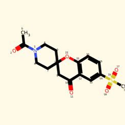 CC(=O)N1CCC2(CC1)CC(=O)c1cc(S(C)(=O)=O)ccc1O2